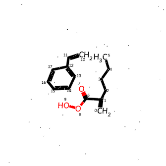 C=C(CCCC)C(=O)OO.C=Cc1ccccc1